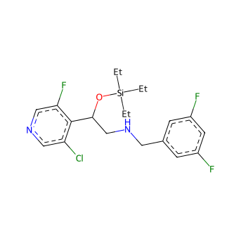 CC[Si](CC)(CC)OC(CNCc1cc(F)cc(F)c1)c1c(F)cncc1Cl